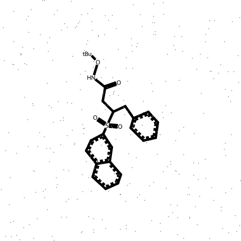 CC(C)(C)ONC(=O)CC(Cc1ccccc1)S(=O)(=O)c1ccc2ccccc2c1